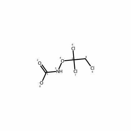 [O]C(=O)NOC(Cl)(Cl)CCl